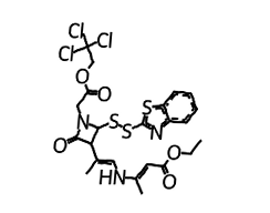 CCOC(=O)C=C(C)NC=C(C)C1C(=O)N(CC(=O)OCC(Cl)(Cl)Cl)C1SSc1nc2ccccc2s1